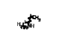 C=C/C(=C\C=C/C)NCCC